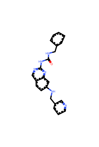 O=C(NCc1ccccc1)Nc1ncc2ccc(NCc3cccnc3)cc2n1